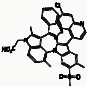 Cc1cc2c(-c3ccnc4cc(Cl)ccc34)c(C)n(-c3c(C)ccc4c3c(-c3nsc5ccccc35)c(C)n4CC(=O)O)c2cc1S(C)(=O)=O